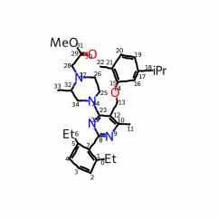 CCc1cccc(CC)c1-c1nc(C)c(COc2cc(C(C)C)ccc2C)c(N2CCN(CC(=O)OC)C(C)C2)n1